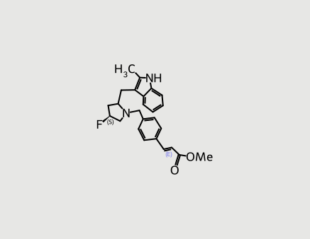 COC(=O)/C=C/c1ccc(CN2C[C@@H](F)CC2Cc2c(C)[nH]c3ccccc23)cc1